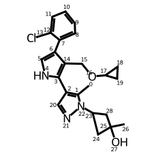 Cc1c(-c2[nH]cc(-c3ccccc3Cl)c2COC2CC2)cnn1C1CC(C)(O)C1